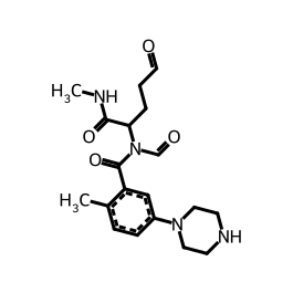 CNC(=O)C(CCC=O)N(C=O)C(=O)c1cc(N2CCNCC2)ccc1C